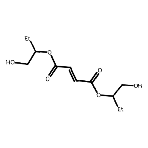 CCC(CO)OC(=O)/C=C/C(=O)OC(CC)CO